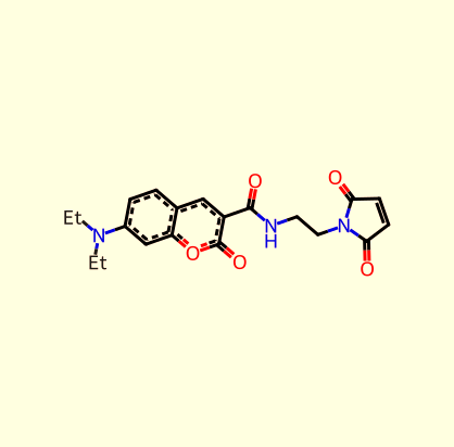 CCN(CC)c1ccc2cc(C(=O)NCCN3C(=O)C=CC3=O)c(=O)oc2c1